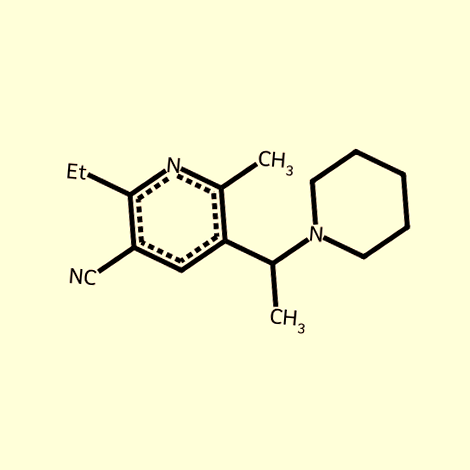 CCc1nc(C)c(C(C)N2CCCCC2)cc1C#N